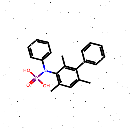 Cc1cc(C)c(N(c2ccccc2)P(=O)(O)O)c(C)c1-c1ccccc1